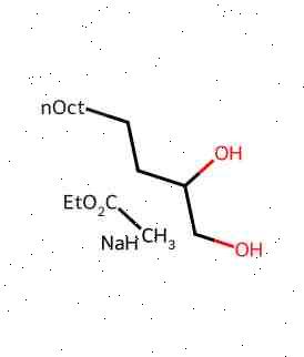 CCCCCCCCCCC(O)CO.CCOC(C)=O.[NaH]